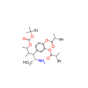 CCC(C)(C)OC(=O)OC(C)C(C)C(c1ccc(OC(=O)C(C)C(C)C)c(OC(=O)C(C)C(C)C)c1)[C@H](N)C(=O)O